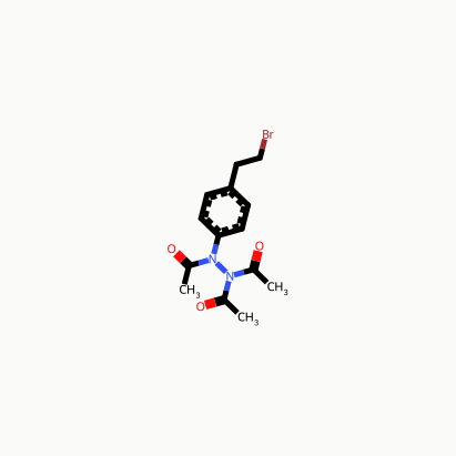 CC(=O)N(C(C)=O)N(C(C)=O)c1ccc(CCBr)cc1